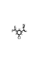 C=C(C#N)c1cc(Cl)cc(C(F)F)c1